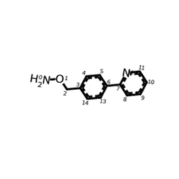 NOCc1ccc(-c2ccccn2)cc1